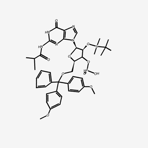 COc1ccc(C(OC[C@H]2O[C@@H](n3cnc4c(=O)[nH]c(NC(=O)C(C)C)nc43)[C@@H](O[Si](C)(C)C(C)(C)C)C2O[PH](=O)O)(c2ccccc2)c2ccc(OC)cc2)cc1